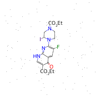 CCOC(=O)c1c[nH]c2nc(N3CCN(C(=O)OCC)CC3I)c(F)cc2c1=O